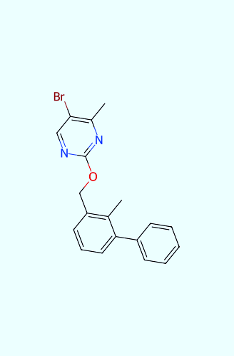 Cc1nc(OCc2cccc(-c3ccccc3)c2C)ncc1Br